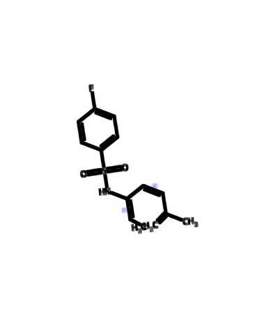 C=C(C)/C=C\C(=C/C)NS(=O)(=O)c1ccc(F)cc1